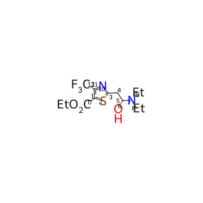 CCOC(=O)c1sc(CC(O)N(CC)CC)nc1C(F)(F)F